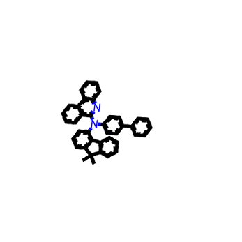 CC1(C)c2ccccc2-c2c(N(c3ccc(-c4ccccc4)cc3)c3nc4ccccc4c4ccccc34)cccc21